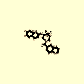 O=C(c1ccc2ncccc2c1)N1CCC(F)(F)C(Oc2ccc3ccccc3n2)C1